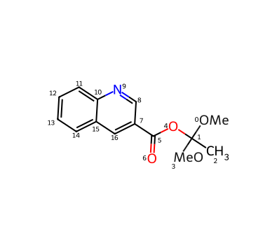 COC(C)(OC)OC(=O)c1cnc2ccccc2c1